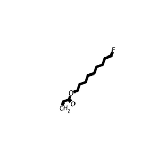 C=CC(=O)OCCCCCCCCCF